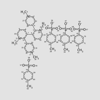 C[n+]1ccc(-c2c(-c3ccc[n+](C)c3-c3cc[n+](C)cc3)ccc[n+]2C)cc1.Cc1ccc(S(=O)(=O)[O-])cc1.Cc1ccc(S(=O)(=O)[O-])cc1.Cc1ccc(S(=O)(=O)[O-])cc1.Cc1ccc(S(=O)(=O)[O-])cc1